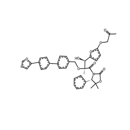 CC(=O)COc1ccc([C@H](O)[C@](C)(OCc2ccc(-c3ccc(-c4cnco4)cc3)cc2)C(=O)N2C(=O)OC(C)(C)[C@@H]2c2ccccc2)o1